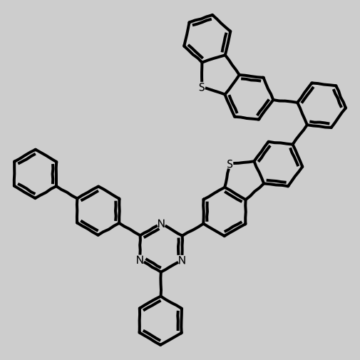 c1ccc(-c2ccc(-c3nc(-c4ccccc4)nc(-c4ccc5c(c4)sc4cc(-c6ccccc6-c6ccc7sc8ccccc8c7c6)ccc45)n3)cc2)cc1